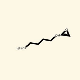 C1=CO1.CCCCCCCCCO